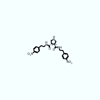 O=C(NCCc1ccc([N+](=O)[O-])cc1)[C@@H]1CNC[C@H]1C(=O)NCCc1ccc([N+](=O)[O-])cc1